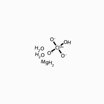 O.O.[MgH2].[O-][Cl+3]([O-])([O-])O